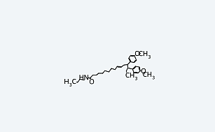 CCCCNC(=O)CCCCCCCCC=CCC(c1ccc(OC)cc1)C(CC)c1ccc(OC)cc1